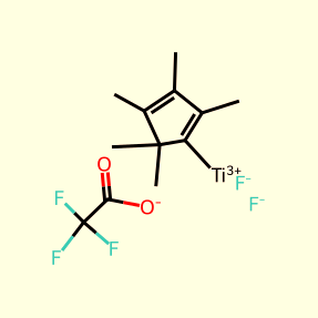 CC1=C(C)C(C)(C)[C]([Ti+3])=C1C.O=C([O-])C(F)(F)F.[F-].[F-]